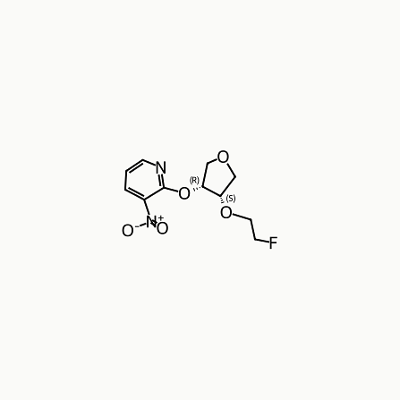 O=[N+]([O-])c1cccnc1O[C@@H]1COC[C@@H]1OCCF